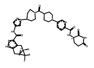 C[C@@]12Cc3[nH]nc(C(=O)Nc4cnn(C5CCN(C(=O)C6CCN(c7ccc(C(=O)N[C@@H]8CCC(=O)NC8=O)nc7)CC6)CC5)c4)c3C[C@@H]1C2(F)F